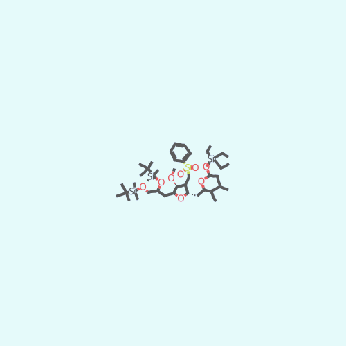 CC[Si](CC)(CC)OC1CC(C)C(C)C(C[C@@H]2OC(CC(CO[Si](C)(C)C(C)(C)C)O[Si](C)(C)C(C)(C)C)[C@H](OC)C2CS(=O)(=O)c2ccccc2)O1